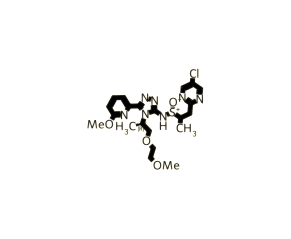 COCCOC[C@@H](C)n1c(N[S+]([O-])C(C)Cc2ncc(Cl)cn2)nnc1-c1cccc(OC)n1